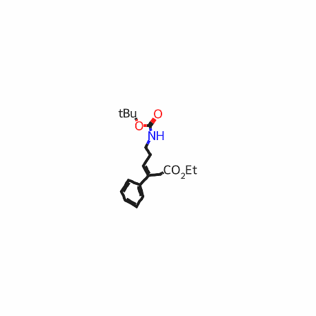 CCOC(=O)CC(=CCCNC(=O)OC(C)(C)C)c1ccccc1